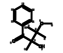 COC(C)(C)C(C)(O)C(=O)c1ccccc1